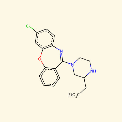 CCOC(=O)CC1CN(C2=Nc3ccc(Cl)cc3Oc3ccccc32)CCN1